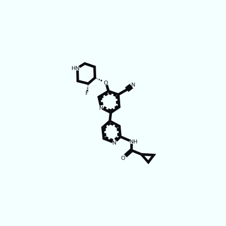 N#Cc1cc(-c2ccnc(NC(=O)C3CC3)c2)ncc1O[C@H]1CCNC[C@H]1F